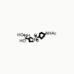 CC(=O)Nc1ccc(S(=O)(=O)N2CC=C(C(O)NO)C2)cc1